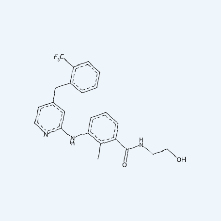 Cc1c(Nc2cc(Cc3ccccc3C(F)(F)F)ccn2)cccc1C(=O)NCCO